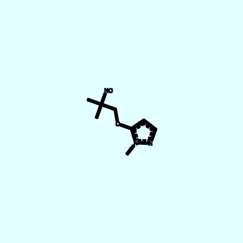 Cn1nccc1OCC(C)(C)N=O